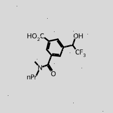 CCCN(C)C(=O)c1cc(C(=O)O)cc(C(O)C(F)(F)F)c1